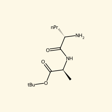 CCC[C@H](N)C(=O)N[C@@H](C)C(=O)OC(C)(C)C